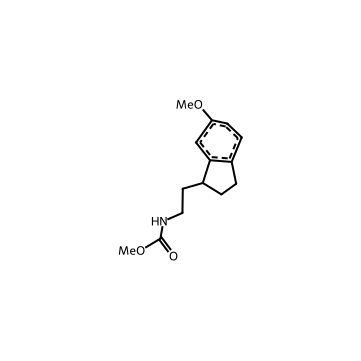 COC(=O)NCCC1CCc2ccc(OC)cc21